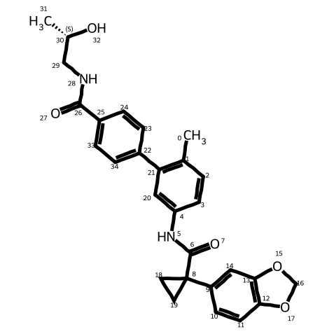 Cc1ccc(NC(=O)C2(c3ccc4c(c3)OCO4)CC2)cc1-c1ccc(C(=O)NC[C@H](C)O)cc1